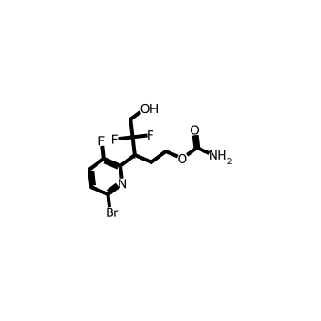 NC(=O)OCC[C](c1nc(Br)ccc1F)C(F)(F)CO